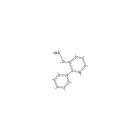 O=COc1cccnc1-c1ccccc1